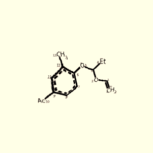 C=COC(CC)Oc1ccc(C(C)=O)cc1C